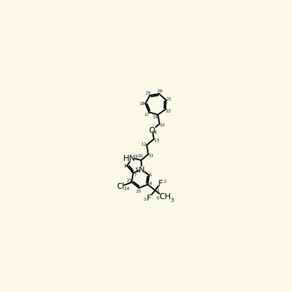 CC(F)(F)C1=CN2C(=CNC2CCCOCC2C=CC=CC=C2)C(Cl)=C1